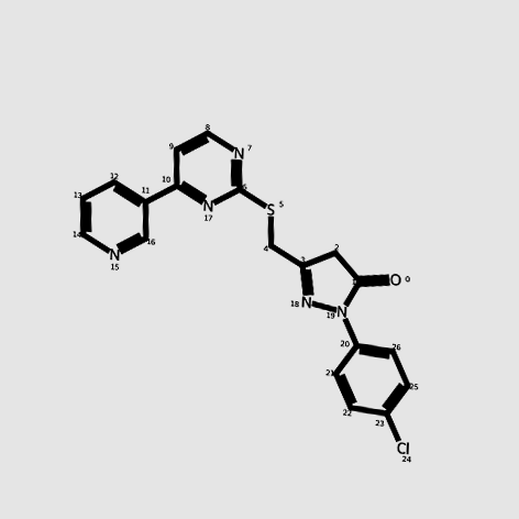 O=C1CC(CSc2nccc(-c3cccnc3)n2)=NN1c1ccc(Cl)cc1